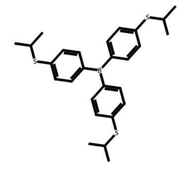 CC(C)Sc1ccc(B(c2ccc(SC(C)C)cc2)c2ccc(SC(C)C)cc2)cc1